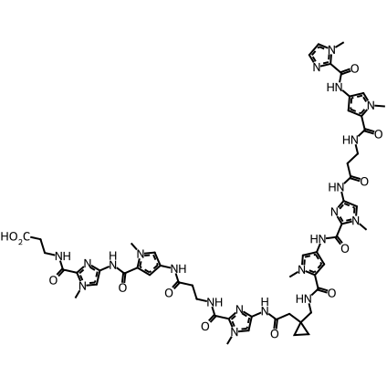 Cn1cc(NC(=O)c2nccn2C)cc1C(=O)NCCC(=O)Nc1cn(C)c(C(=O)Nc2cc(C(=O)NCC3(CC(=O)Nc4cn(C)c(C(=O)NCCC(=O)Nc5cc(C(=O)Nc6cn(C)c(C(=O)NCCC(=O)O)n6)n(C)c5)n4)CC3)n(C)c2)n1